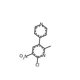 Cc1nc(Cl)c([N+](=O)[O-])cc1-c1ccncc1